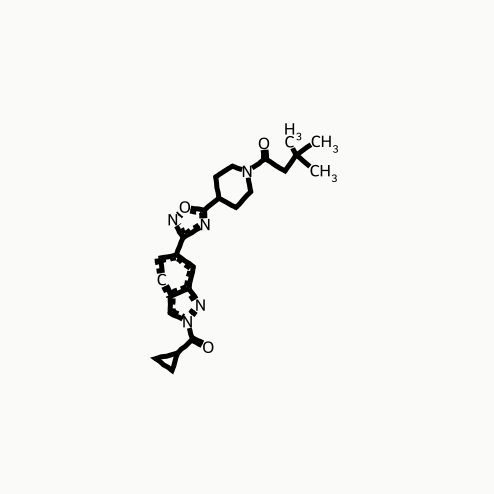 CC(C)(C)CC(=O)N1CCC(c2nc(-c3ccc4cn(C(=O)C5CC5)nc4c3)no2)CC1